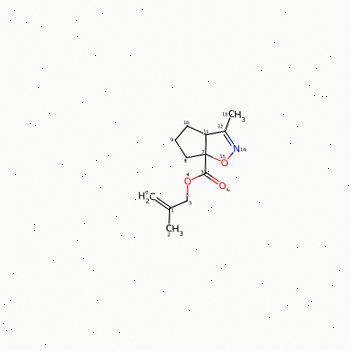 C=C(C)COC(=O)C12CCCC1C(C)=NO2